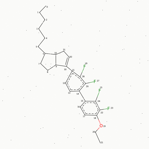 CCCCCCC1CCC2C(c3ccc(-c4ccc(OCC)c(F)c4F)c(F)c3F)=CCC12